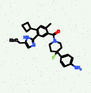 COCc1cnc(-c2cc(C(=O)N3CCC(F)(c4ccc(N)cc4)CC3)c(C)cc2C2CCC2)[nH]1